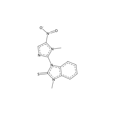 Cn1c([N+](=O)[O-])cnc1-n1c(=S)n(C)c2ccccc21